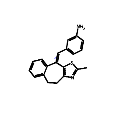 Cc1nc2c(s1)/C(=C\c1cccc(N)c1)c1ccccc1CC2